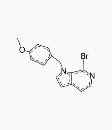 COc1ccc(Cn2ccc3ccnc(Br)c32)cc1